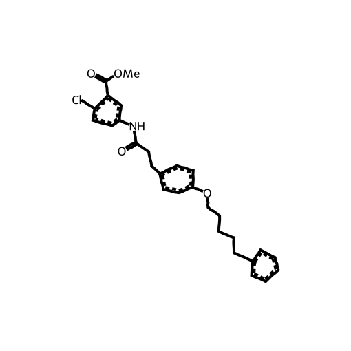 COC(=O)c1cc(NC(=O)CCc2ccc(OCCCCCc3ccccc3)cc2)ccc1Cl